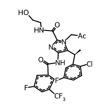 CC(=O)Cn1c(C(=O)NCCO)nc(NC(=O)c2cc(F)cc(C(F)(F)F)c2)c1[C@@H](C)c1cc(F)ccc1Cl